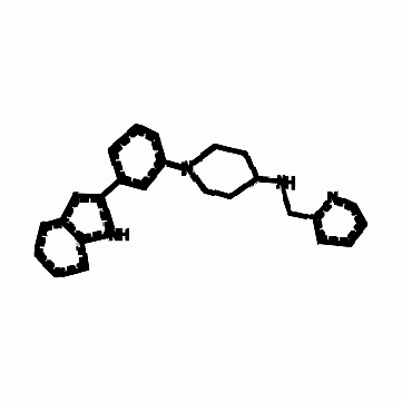 c1ccc(CNC2CCN(c3cccc(-c4cc5ccccc5[nH]4)c3)CC2)nc1